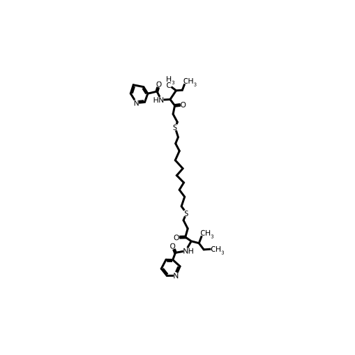 CCC(C)C(NC(=O)c1cccnc1)C(=O)CCSCCCCCCCCCCSCCC(=O)C(NC(=O)c1cccnc1)C(C)CC